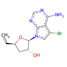 C=C[C@@H]1C[C@@H](O)[C@H](n2cc(Br)c3c(N)ncnc32)O1